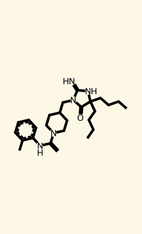 C=C(Nc1ccccc1C)N1CCC(CN2C(=N)NC(CCCC)(CCCC)C2=O)CC1